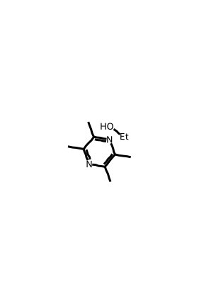 CCO.Cc1nc(C)c(C)nc1C